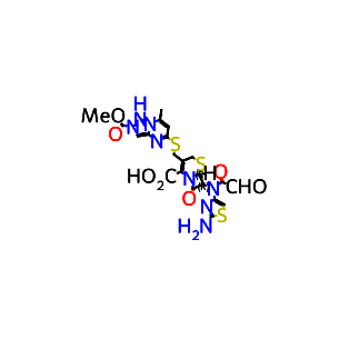 COC(=O)N1C=C2N=C(SCC3=C(C(=O)O)N4C(=O)[C@@H](N(C(=O)C=O)c5csc(N)n5)[C@H]4SC3)C=C(C)N2N1